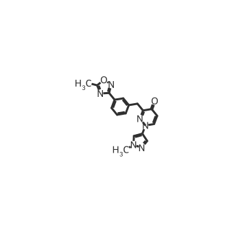 Cc1nc(-c2cccc(Cc3nn(-c4cnn(C)c4)ccc3=O)c2)no1